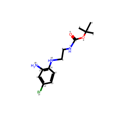 CC(C)(C)OC(=O)NCCNc1ccc(Br)cc1N